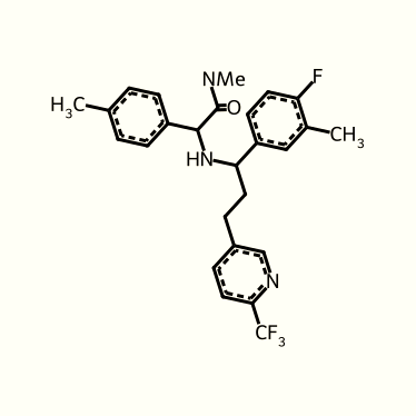 CNC(=O)C(NC(CCc1ccc(C(F)(F)F)nc1)c1ccc(F)c(C)c1)c1ccc(C)cc1